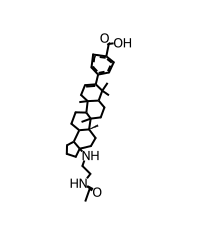 CC(=O)NCCNC12CCCC1C1CCC3C4(C)CC=C(c5ccc(C(=O)O)cc5)C(C)(C)C4CCC3(C)[C@]1(C)CC2